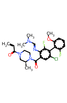 C=CC(=O)N1CCN(C(=O)c2cc(Cl)c(-c3c(F)cccc3OC)c(F)c2/N=C/N(C)C)[C@@H](C)C1